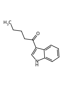 CCCCC(=O)c1c[nH]c2ccccc12